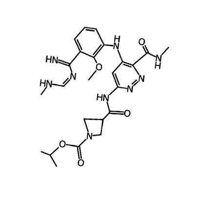 CN/C=N\C(=N)c1cccc(Nc2cc(NC(=O)C3CN(C(=O)OC(C)C)C3)nnc2C(=O)NC)c1OC